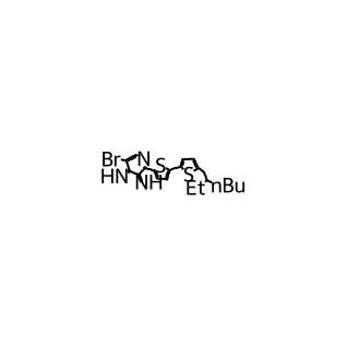 CCCCC(CC)Cc1ccc(-c2ccc(C3=NC=C(Br)C(=N)C3=N)s2)s1